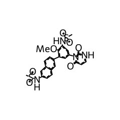 COc1c(NS(C)(=O)=O)cc(-n2c(=O)cc[nH]c2=O)cc1-c1ccc2cc(NS(C)(=O)=O)ccc2c1